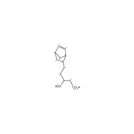 CC(=O)OC(CCC1CC2C=CC1C2)CC(=O)O